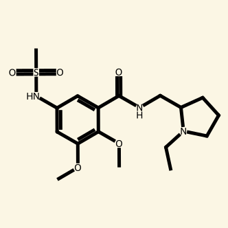 CCN1CCCC1CNC(=O)c1cc(NS(C)(=O)=O)cc(OC)c1OC